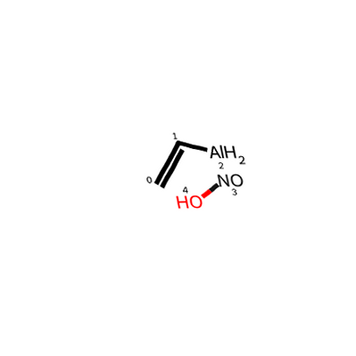 C=[CH][AlH2].O=NO